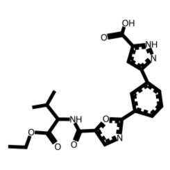 CCOC(=O)C(NC(=O)c1cnc(-c2cccc(-c3cc(C(=O)O)[nH]n3)c2)o1)C(C)C